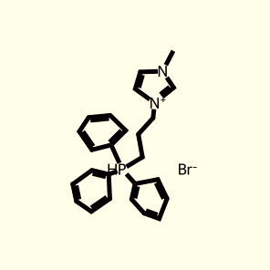 Cn1cc[n+](CCC[PH](c2ccccc2)(c2ccccc2)c2ccccc2)c1.[Br-]